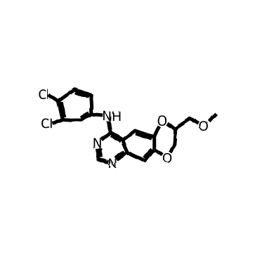 COCC1COc2cc3ncnc(Nc4ccc(Cl)c(Cl)c4)c3cc2O1